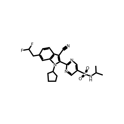 CC(C)NS(=O)(=O)c1cnc(-c2c(C#N)c3ccc(CC(F)F)cc3n2C2CCCC2)nc1